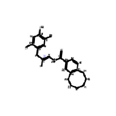 C=C(S/C=C(\C)Cc1cc(C)c(I)cc1C)c1ccc2c(c1)CCCCCC2